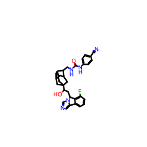 N#Cc1ccc(NC(=O)NCC2C3CC4CC2CC(C(O)CC2c5c(F)cccc5-c5cncn52)(C4)C3)cc1